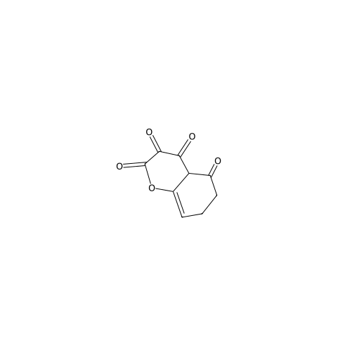 O=C1OC2=CCCC(=O)C2C(=O)C1=O